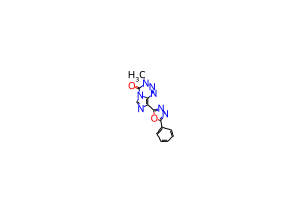 Cn1nnc2c(-c3nnc(-c4ccccc4)o3)ncn2c1=O